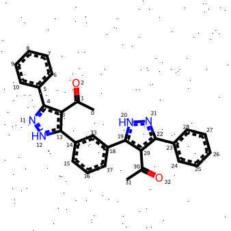 CC(=O)c1c(-c2ccccc2)n[nH]c1-c1cccc(-c2[nH]nc(-c3ccccc3)c2C(C)=O)c1